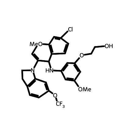 C/C=C(\C(Nc1cc(OC)cc(OCCO)c1)c1ccc(Cl)cc1OC)N1CCc2ccc(OC(F)(F)F)cc21